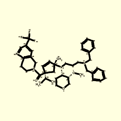 CO[C@@H]1COCC[C@@H]1N(CCCN(Cc1ccccc1)Cc1ccccc1)[C@@]1([SiH3])C=C[C@@](C(=O)N2CCc3ncc(C(F)(F)F)cc3C2)(C(C)C)C1